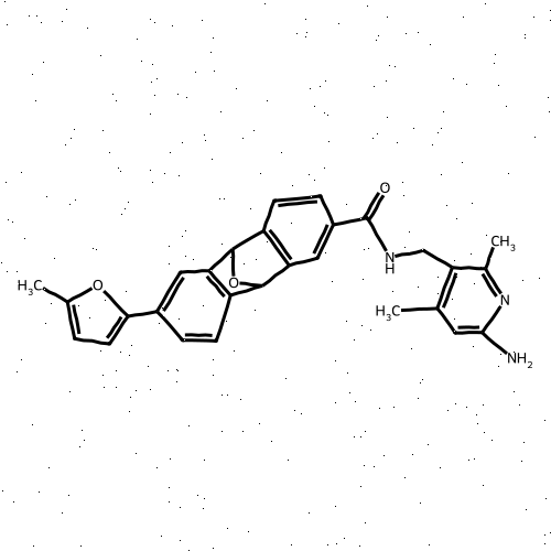 Cc1ccc(-c2ccc3c(c2)C2OC3c3cc(C(=O)NCc4c(C)cc(N)nc4C)ccc32)o1